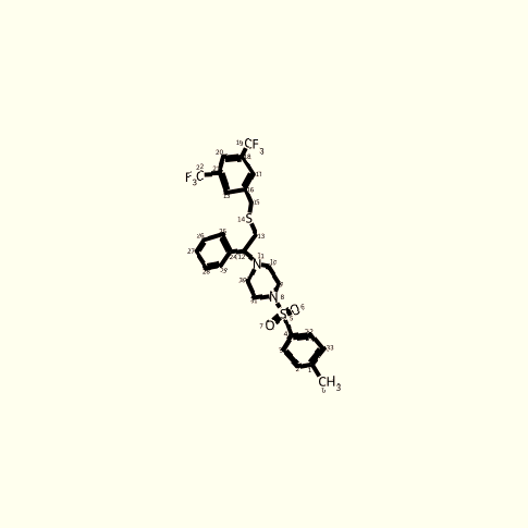 Cc1ccc(S(=O)(=O)N2CCN(C(CSCc3cc(C(F)(F)F)cc(C(F)(F)F)c3)c3ccccc3)CC2)cc1